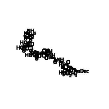 CCCCCCCCCCCCCCCC(=O)[SH](CCNC(=O)CCNC(=O)C(O)C(C)(C)COP(=O)(O)OP(=O)(O)OC[C@H]1O[C@@H](n2cnc3c(N)ncnc32)[C@H](O)[C@@H]1OP(=O)(O)O)O[C@H](CC(=O)O)C[N+](C)(C)C